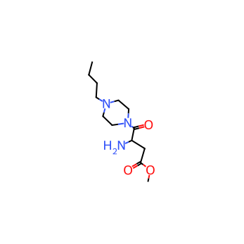 CCCCN1CCN(C(=O)C(N)CC(=O)OC)CC1